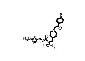 Cc1ncc(CNC(=O)N(C)CC2CCN(CC(=O)c3ccc(F)cc3)CC2)s1